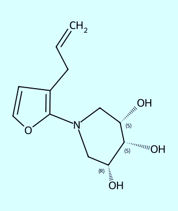 C=CCc1ccoc1N1C[C@@H](O)[C@@H](O)[C@@H](O)C1